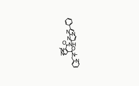 CN(Cc1ccccn1)C(=O)c1cnn(C)c1C(=O)Nc1ccn2cc(-c3ccccc3)nc2n1